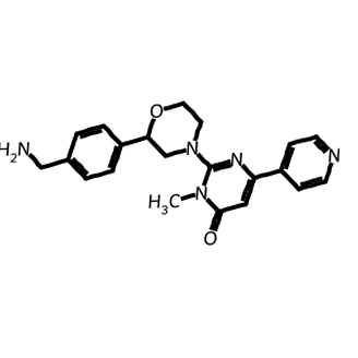 Cn1c(N2CCOC(c3ccc(CN)cc3)C2)nc(-c2ccncc2)cc1=O